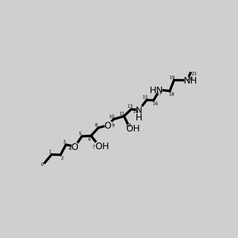 CCCCOCC(O)COCC(O)CNCCNCCNC